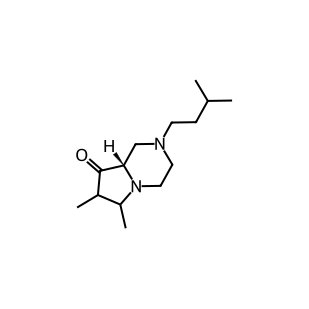 CC(C)CCN1CCN2C(C)C(C)C(=O)[C@@H]2C1